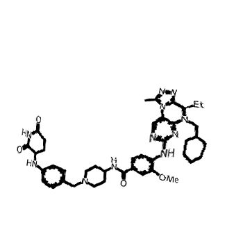 CC[C@@H]1c2nnc(C)n2-c2cnc(Nc3ccc(C(=O)NC4CCN(Cc5ccc(NC6CCC(=O)NC6=O)cc5)CC4)cc3OC)nc2N1CC1CCCCC1